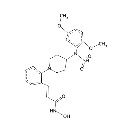 COc1ccc(OC)c(N(C2CCN(c3ccccc3/C=C/C(=O)NO)CC2)[SH](=O)=O)c1